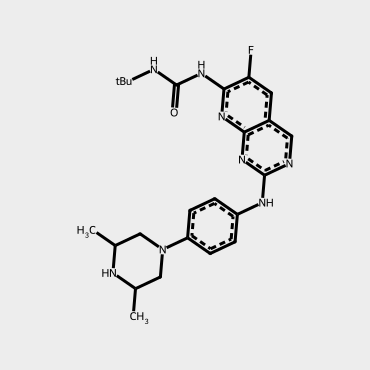 CC1CN(c2ccc(Nc3ncc4cc(F)c(NC(=O)NC(C)(C)C)nc4n3)cc2)CC(C)N1